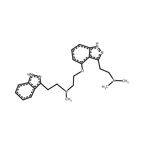 CN(C)CCc1n[nH]c2cccc(OCCN(C)CCc3n[nH]c4ccccc34)c12